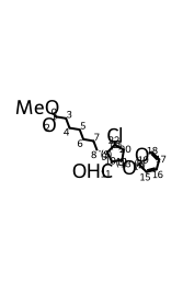 COC(=O)CCCCCC[C@H]1C(C=O)[C@@H](O[C@H]2C=CC=CO2)C[C@@H]1Cl